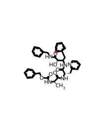 C[C@H](NC(=O)OCc1ccccc1)C(=O)N[C@@H](Cc1ccccn1)C(=O)NC(Cc1ccccc1)[C@H](O)C(=O)NCc1ccccc1